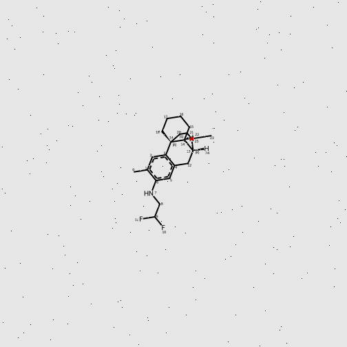 Cc1cc2c(cc1NCC(F)F)C[C@@H]1[C@H]3CCCC[C@]23CCN1C